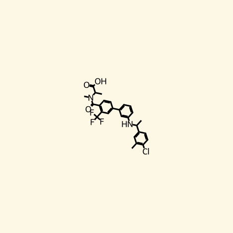 Cc1cc(C(C)Nc2cccc(-c3ccc(C(=O)N(C)C(C)C(=O)O)c(C(F)(F)F)c3)c2)ccc1Cl